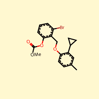 COC(=O)Oc1cccc(Br)c1COc1ccc(C)cc1C1CC1